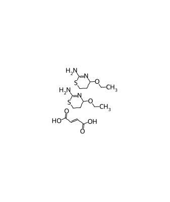 CCOC1CCSC(N)=N1.CCOC1CCSC(N)=N1.O=C(O)C=CC(=O)O